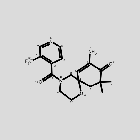 CC1(C)CC2(C=C(N)C1=O)CN(C(=O)c1ccncc1C(F)(F)F)CCO2